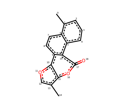 Cc1cccc2c1ccc1c3occ(C)c3oc(=O)c21